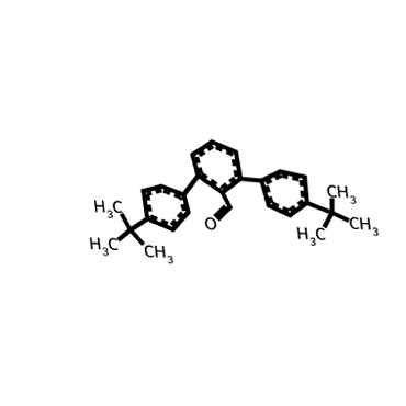 CC(C)(C)c1ccc(-c2cccc(-c3ccc(C(C)(C)C)cc3)c2C=O)cc1